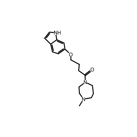 CN1CCCN(C(=O)CCCOc2ccc3[c]c[nH]c3c2)CC1